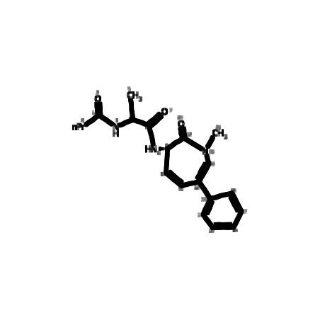 CCCC(=O)NC(C)C(=O)N[C@H]1C=CC(c2ccccc2)=CN(C)C1=O